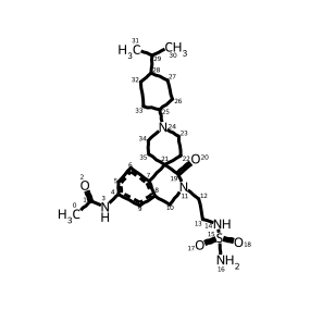 CC(=O)Nc1ccc2c(c1)CN(CCNS(N)(=O)=O)C(=O)C21CCN(C2CCC(C(C)C)CC2)CC1